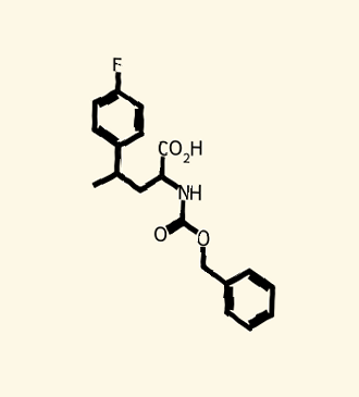 CC(CC(NC(=O)OCc1ccccc1)C(=O)O)c1ccc(F)cc1